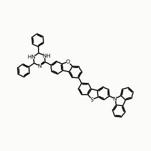 c1ccc(C2N=C(c3ccc4c(c3)oc3ccc(-c5ccc6sc7cc(-n8c9ccccc9c9ccccc98)ccc7c6c5)cc34)NC(c3ccccc3)N2)cc1